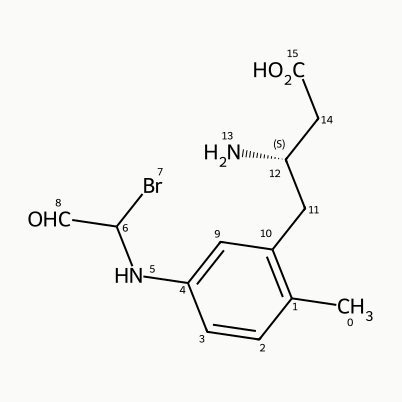 Cc1ccc(NC(Br)C=O)cc1C[C@H](N)CC(=O)O